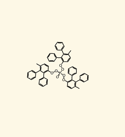 Cc1ccc(OOP(=O)(OOc2ccc(C)c(-c3ccccc3)c2-c2ccccc2)OOc2ccc(C)c(-c3ccccc3)c2-c2ccccc2)c(-c2ccccc2)c1-c1ccccc1